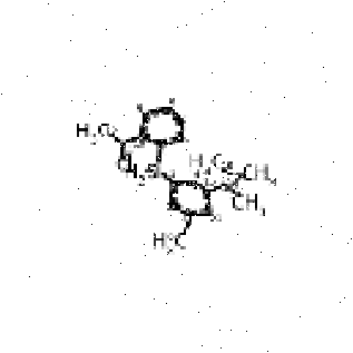 Cc1cc([SiH2]c2ccccc2C(C)Cl)cc([Si](C)(C)C)c1